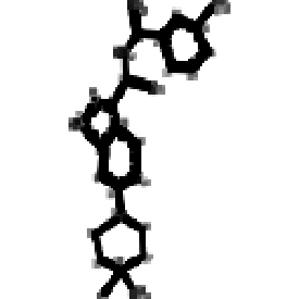 C=C(BC(=O)c1n[nH]c2cc(N3CCC(C)(F)CC3)ncc12)c1cccc(C)c1